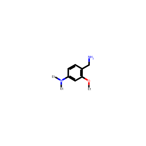 CCOc1cc(N(CC)CC)ccc1CN